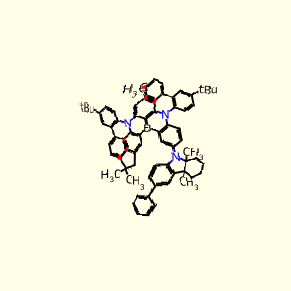 Cc1cc2c3c(c1)N(c1ccc(C(C)(C)C)cc1-c1ccccc1)c1cc4c(cc1B3c1cc(N3c5ccc(-c6ccccc6)cc5C5(C)CCCCC35C)ccc1N2c1ccc(C(C)(C)C)cc1-c1ccccc1)CC(C)(C)C4